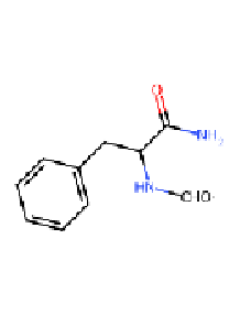 NC(=O)C(Cc1ccccc1)N[C]=O